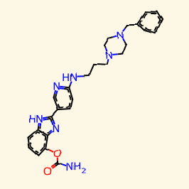 NC(=O)Oc1cccc2[nH]c(-c3ccc(NCCCN4CCN(Cc5ccccc5)CC4)nc3)nc12